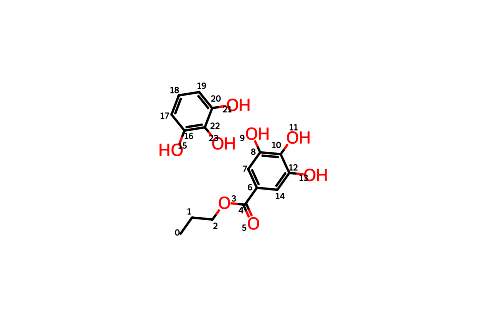 CCCOC(=O)c1cc(O)c(O)c(O)c1.Oc1cccc(O)c1O